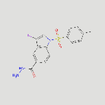 Cc1ccc(S(=O)(=O)n2cc(I)c3cc(C(=O)NN)ccc32)cc1